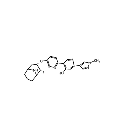 Cn1cc(-c2ccc(-c3ccc(O[C@H]4CC5CCCC(N5)[C@H]4F)nn3)c(O)c2)cn1